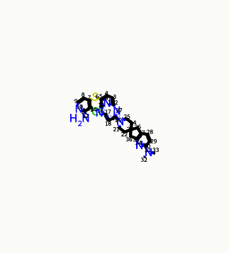 CN1C2=CC=C(Sc3ccnc(N)c3Cl)/C1=N/C=C/C(N1CCC3(CC1)Cc1ccc(N(C)C)nc1C3)=N\2